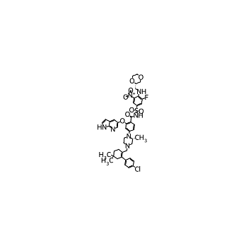 C[C@@H]1CN(CC2=C(c3ccc(Cl)cc3)CC(C)(C)CC2)CCN1c1ccc(C(=O)NS(=O)(=O)c2cc(F)c(NC[C@H]3COCCO3)c([N+](=O)[O-])c2)c(Oc2cnc3[nH]ccc3c2)c1